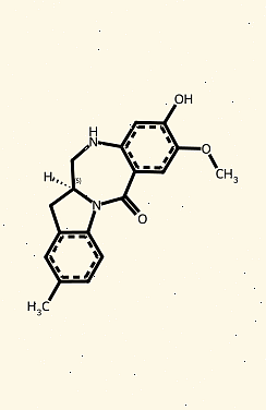 COc1cc2c(cc1O)NC[C@@H]1Cc3cc(C)ccc3N1C2=O